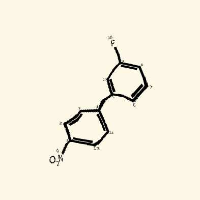 O=[N+]([O-])c1ccc(-c2[c]ccc(F)c2)cc1